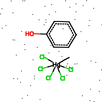 Oc1ccccc1.[CH3][Hg]([Cl])([Cl])([Cl])([Cl])[Cl]